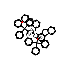 [CH2]=[Ti]([O]C(=O)C(c1ccccc1)(c1ccccc1)c1ccccc1)([O]C(=O)C(c1ccccc1)(c1ccccc1)c1ccccc1)([c]1cccc2c1Cc1ccccc1-2)[c]1cccc2c1Cc1ccccc1-2